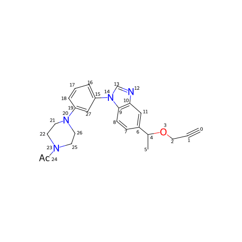 C#CCOC(C)c1ccc2c(c1)ncn2-c1cccc(N2CCN(C(C)=O)CC2)c1